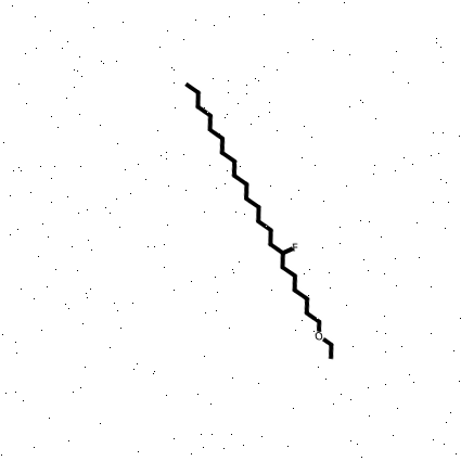 CCCCCCCCCCCCCCCC(F)CCCCCCOCC